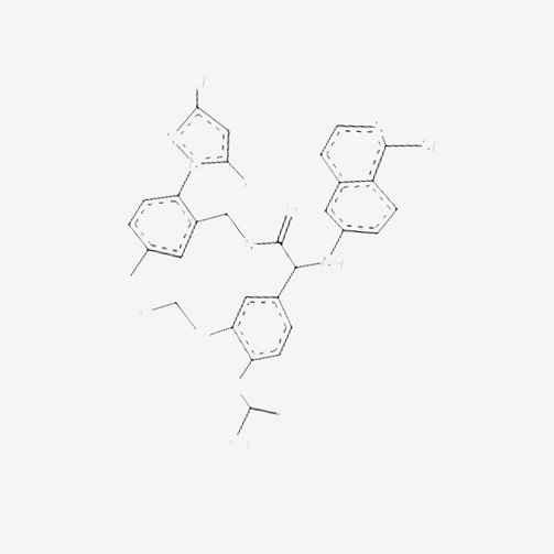 CCOc1cc(C(Nc2ccc3c(N)nccc3c2)C(=O)NCc2cc(O)ccc2-n2nc(C)cc2C)ccc1OC(C)C